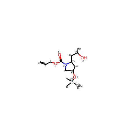 C=CCOC(=O)N1CC(O[Si](C)(C)C(C)(C)C)CC1C[C@@H](C)O